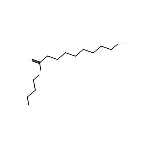 CCCCCCCCCCCCCCCCCC(=O)OCCCO